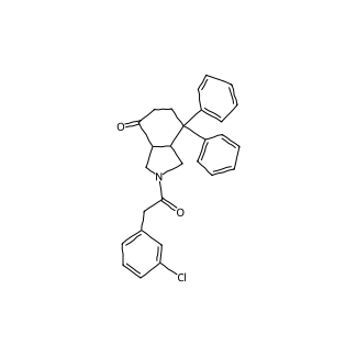 O=C1CCC(c2ccccc2)(c2ccccc2)C2CN(C(=O)Cc3cccc(Cl)c3)CC12